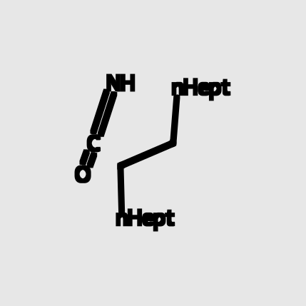 CCCCCCCCCCCCCCCC.N=C=O